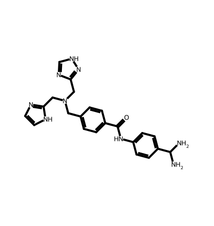 NC(N)c1ccc(NC(=O)c2ccc(CN(Cc3nc[nH]n3)Cc3ncc[nH]3)cc2)cc1